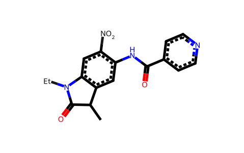 CCN1C(=O)C(C)c2cc(NC(=O)c3ccncc3)c([N+](=O)[O-])cc21